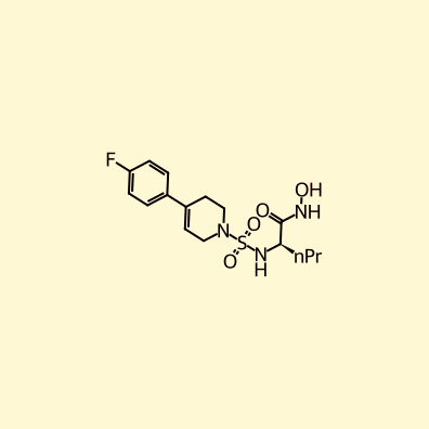 CCC[C@@H](NS(=O)(=O)N1CC=C(c2ccc(F)cc2)CC1)C(=O)NO